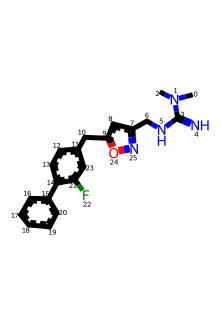 CN(C)C(=N)NCc1cc(Cc2ccc(-c3ccccc3)c(F)c2)on1